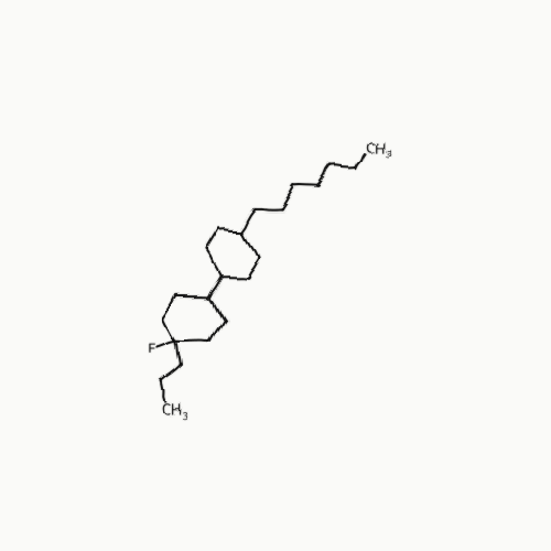 CCCCCCCC1CCC(C2CCC(F)(CCC)CC2)CC1